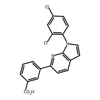 O=C(O)c1cccc(-c2ccc3ccn(-c4ccc(Cl)cc4Cl)c3n2)c1